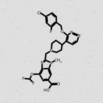 Cn1c(CN2CCC(c3ccnnc3OCc3ccc(Cl)cc3F)CC2)nc2c(OC(F)F)cc(C(=O)O)cc21